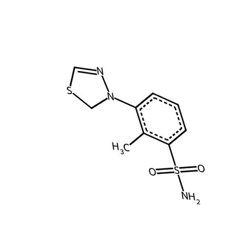 Cc1c(N2CSC=N2)cccc1S(N)(=O)=O